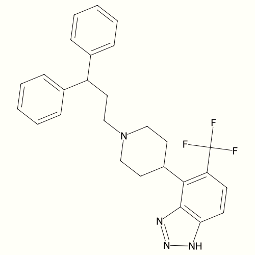 FC(F)(F)c1ccc2[nH]nnc2c1C1CCN(CCC(c2ccccc2)c2ccccc2)CC1